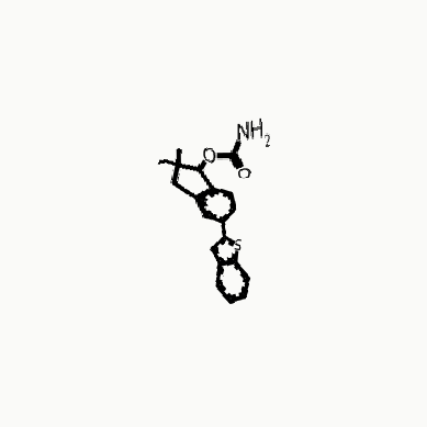 CC1(C)Cc2cc(-c3cc4ccccc4s3)ccc2C1OC(N)=O